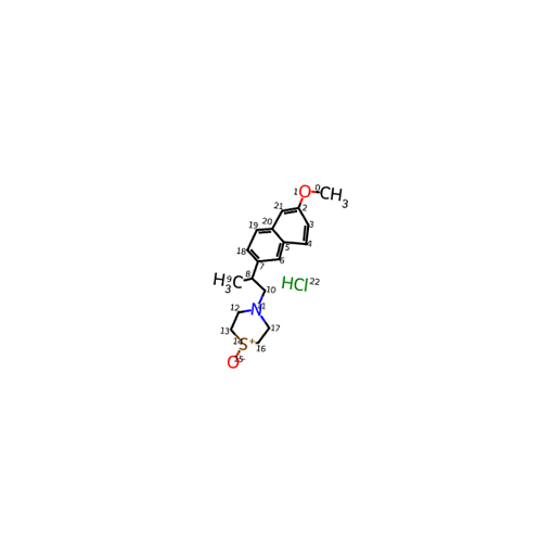 COc1ccc2cc(C(C)CN3CC[S+]([O-])CC3)ccc2c1.Cl